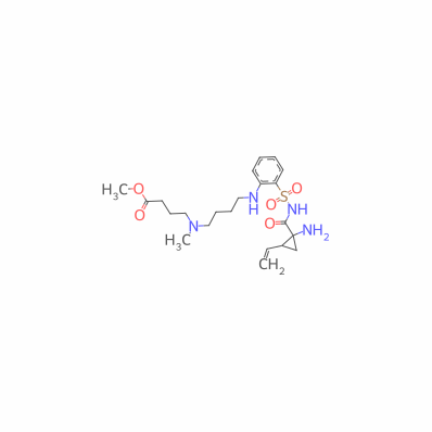 C=CC1CC1(N)C(=O)NS(=O)(=O)c1ccccc1NCCCCN(C)CCCC(=O)OC